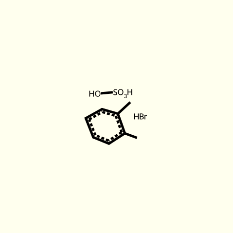 Br.Cc1ccccc1C.O=S(=O)(O)O